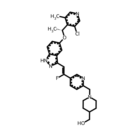 Cc1cncc(Cl)c1[C@@H](C)Oc1ccc2[nH]nc(/C=C(\F)c3ccc(CN4CCC(CO)CC4)nc3)c2c1